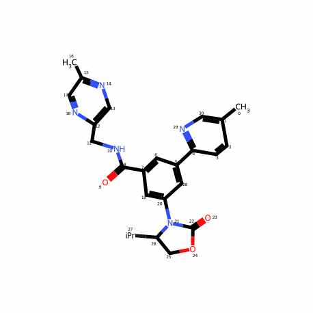 Cc1ccc(-c2cc(C(=O)NCc3cnc(C)cn3)cc(N3C(=O)OCC3C(C)C)c2)nc1